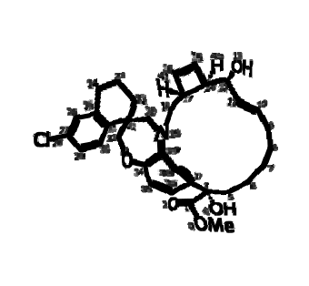 COC(=O)[C@]1(O)CCCCC/C=C/[C@H](O)[C@@H]2CC[C@H]2CN2C[C@@]3(CCCc4cc(Cl)ccc43)COc3ccc1cc32